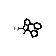 CC1=C(c2ccccc2)c2c(-c3ccccc3)cccc2C1N